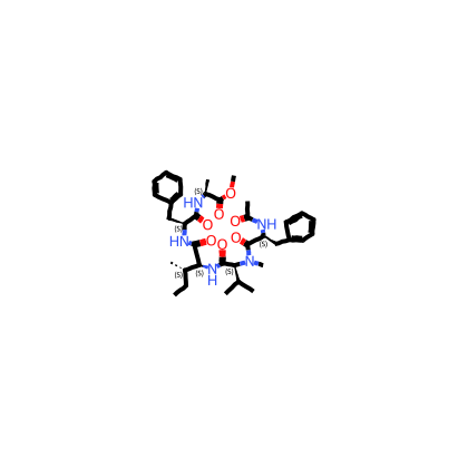 CC[C@H](C)[C@H](NC(=O)[C@H](C(C)C)N(C)C(=O)[C@H](Cc1ccccc1)NC(C)=O)C(=O)N[C@@H](Cc1ccccc1)C(=O)N[C@@H](C)C(=O)OC